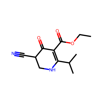 CCOC(=O)C1=C(C(C)C)NCC(C#N)C1=O